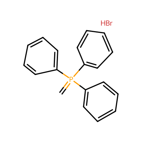 Br.C=P(c1ccccc1)(c1ccccc1)c1ccccc1